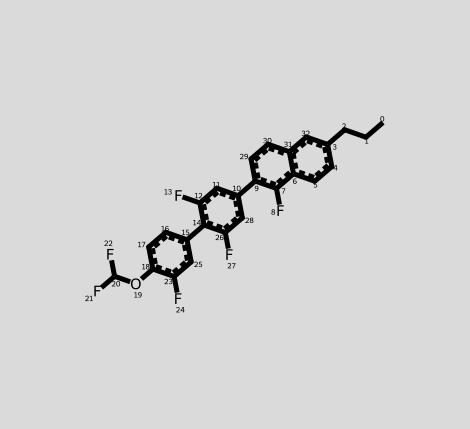 CCCc1ccc2c(F)c(-c3cc(F)c(-c4ccc(OC(F)F)c(F)c4)c(F)c3)ccc2c1